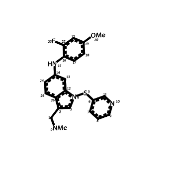 CNCc1cn(Sc2cccnc2)c2cc(Nc3ccc(OC)cc3F)ccc12